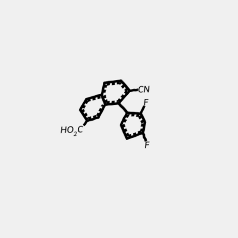 N#Cc1ccc2ccc(C(=O)O)cc2c1-c1ccc(F)cc1F